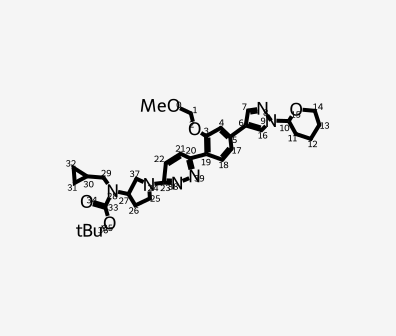 COCOc1cc(-c2cnn(C3CCCCO3)c2)ccc1-c1ccc(N2CCC(N(CC3CC3)C(=O)OC(C)(C)C)C2)nn1